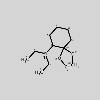 CC[SiH](CC)C1CCCCC1(OC)OC